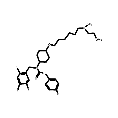 COCCN(C)CCCCCCOC1CCC(N(Cc2cc(F)c(F)cc2F)C(=O)Oc2ccc(Cl)cc2)CC1